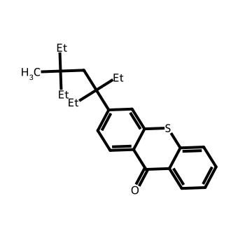 CCC(C)(CC)CC(CC)(CC)c1ccc2c(=O)c3ccccc3sc2c1